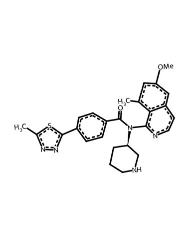 COc1cc(C)c2c(N(C(=O)c3ccc(-c4nnc(C)s4)cc3)[C@@H]3CCCNC3)nccc2c1